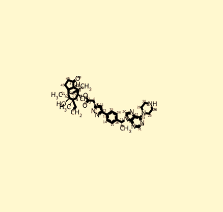 C=C[C@]1(C)C[C@@H](OC(=O)Cn2cc(-c3ccc([C@@H](C)n4cnc5c(N6CCNCC6)ncnc54)cc3)nn2)[C@]2(C)[C@H](C)CC[C@]3(CCC(=O)[C@H]32)[C@@H](C)[C@@H]1O